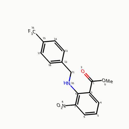 COC(=O)c1cccc([N+](=O)[O-])c1NCc1ccc(C(F)(F)F)cc1